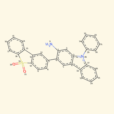 Nc1cc2c(cc1-c1ccc3c(c1)-c1ccccc1S3(=O)=O)c1ccccc1n2-c1ccccc1